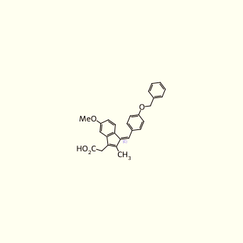 COc1ccc2c(c1)C(CC(=O)O)=C(C)/C2=C/c1ccc(OCc2ccccc2)cc1